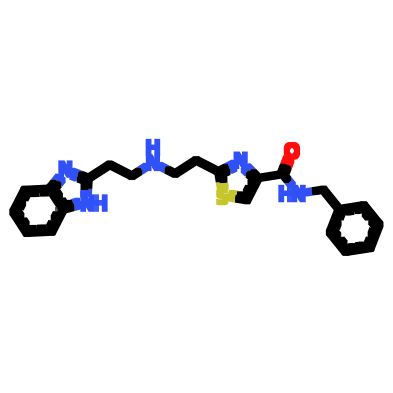 O=C(NCc1ccccc1)c1csc(CCNCCc2nc3ccccc3[nH]2)n1